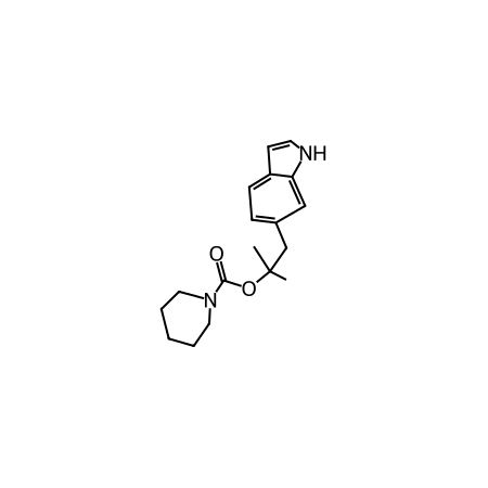 CC(C)(Cc1ccc2cc[nH]c2c1)OC(=O)N1CCCCC1